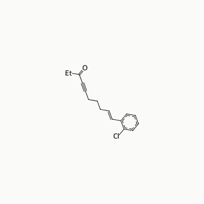 CCC(=O)C#CCCC/C=C/c1ccccc1Cl